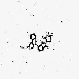 COc1cc(-c2ccccc2)c(Nc2cccc3c2C(=O)N(C2CCC(=O)NC2=O)C3=O)cn1